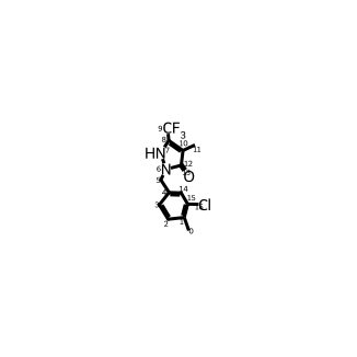 Cc1ccc(Cn2[nH]c(C(F)(F)F)c(C)c2=O)cc1Cl